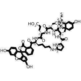 NCCCC[C@H](NC(=O)[C@H](CCC(=O)O)NC(=O)[C@H](CC(=O)O)NC(=O)[C@H](CC1(N=C=S)C=CC(O)=CC1N=C=S)NC(=O)[C@@H]1CCCN1)C(=O)c1cccc2c1C(=O)OC21c2ccc(O)cc2Oc2cc(O)ccc21